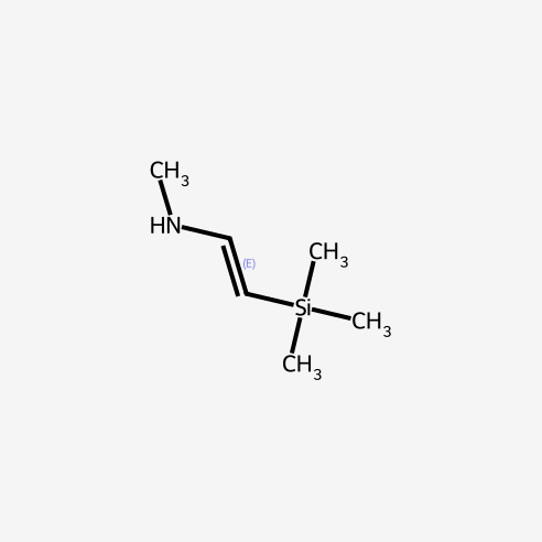 CN/C=C/[Si](C)(C)C